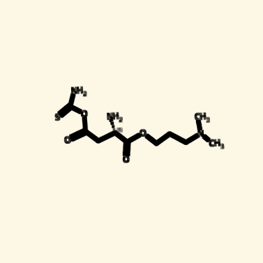 CN(C)CCCOC(=O)[C@@H](N)CC(=O)OC(N)=S